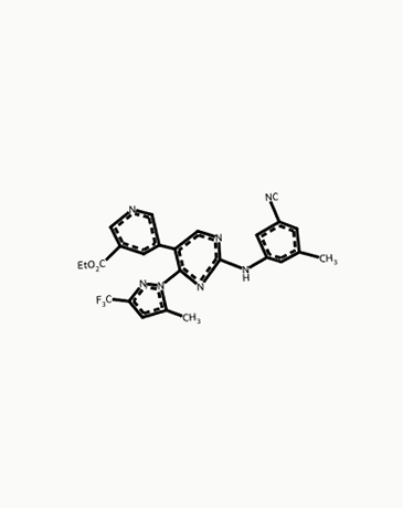 [C-]#[N+]c1cc(C)cc(Nc2ncc(-c3cncc(C(=O)OCC)c3)c(-n3nc(C(F)(F)F)cc3C)n2)c1